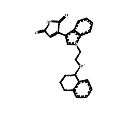 O=C1C=C(c2cn(CCNC3CCCc4ccccc43)c3ccccc23)C(=O)N1